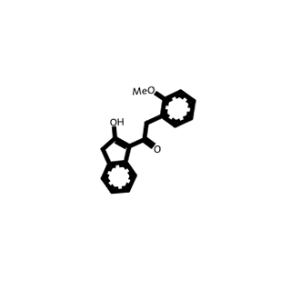 COc1ccccc1CC(=O)C1=C(O)Cc2ccccc21